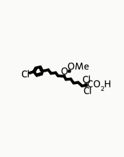 COCOC(CCCCCC(Cl)(Cl)C(=O)O)CCCCc1ccc(Cl)cc1